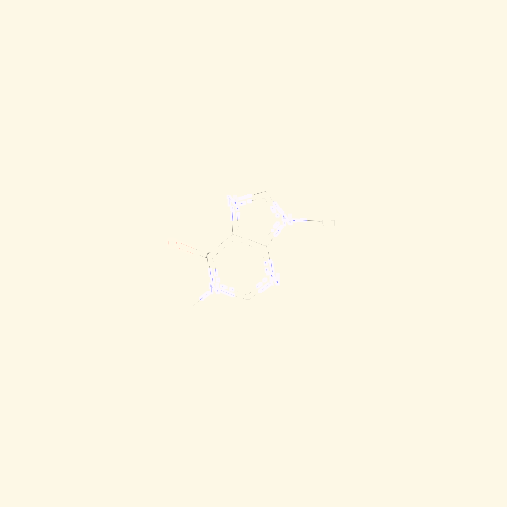 CCn1cnc2c(ncn2C(C)C)c1=O